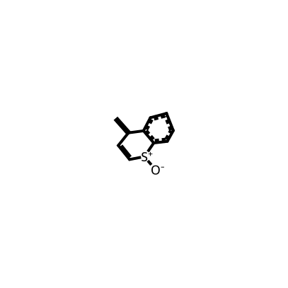 C=C1C=C[S+]([O-])c2ccccc21